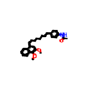 COc1cc(/C=C\CCCC/C=C/c2ccc(NC(C)=O)cc2)c2ccccc2c1OC